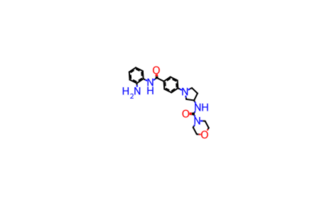 Nc1ccccc1NC(=O)c1ccc(N2CCC(NC(=O)N3CCOCC3)C2)cc1